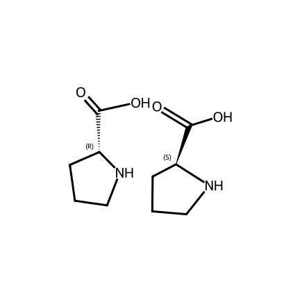 O=C(O)[C@@H]1CCCN1.O=C(O)[C@H]1CCCN1